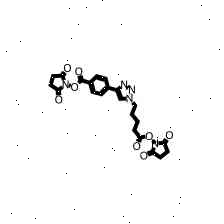 O=C(CCCCn1cc(-c2ccc(C(=O)ON3C(=O)CCC3=O)cc2)nn1)ON1C(=O)CCC1=O